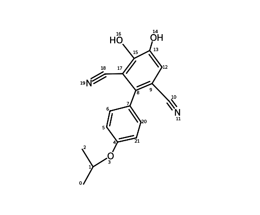 CC(C)Oc1ccc(-c2c(C#N)cc(O)c(O)c2C#N)cc1